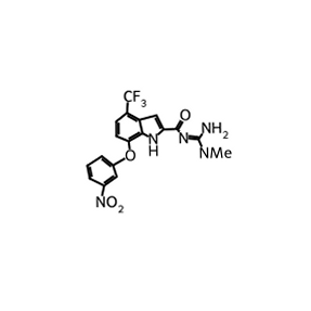 CNC(N)=NC(=O)c1cc2c(C(F)(F)F)ccc(Oc3cccc([N+](=O)[O-])c3)c2[nH]1